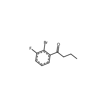 CCCC(=O)c1cccc(F)c1Br